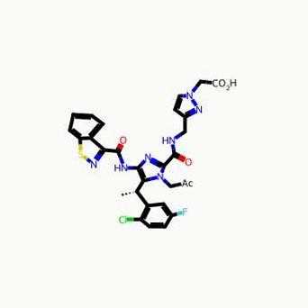 CC(=O)Cn1c(C(=O)NCc2ccn(CC(=O)O)n2)nc(NC(=O)c2nsc3ccccc23)c1[C@@H](C)c1cc(F)ccc1Cl